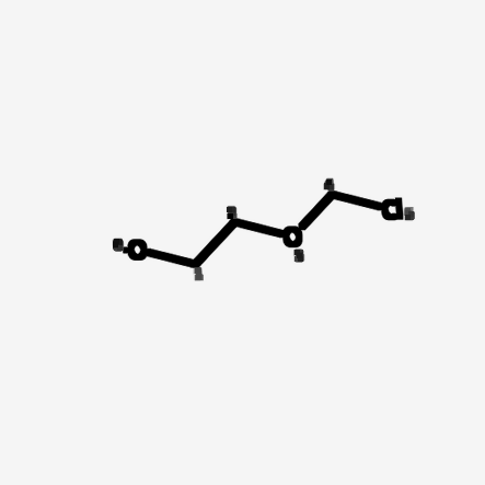 [O]CCOCCl